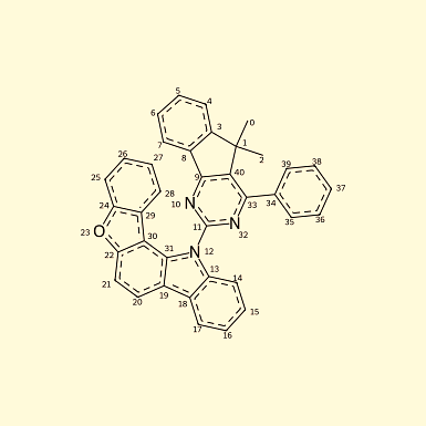 CC1(C)c2ccccc2-c2nc(-n3c4ccccc4c4ccc5oc6ccccc6c5c43)nc(-c3ccccc3)c21